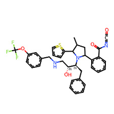 CC1CC(c2ccccc2C(=O)N=C=O)N([C@@H](Cc2ccccc2)[C@H](O)CNCc2cccc(OC(F)(F)F)c2)C1c1cccs1